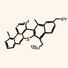 Cc1c2c(c(CC(C)(C)C)c3ccc(CC(C)C)cc13)Sc1cc3cccc(C)c3c3cc[n+](C)c-2c13